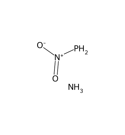 N.O=[N+]([O-])P